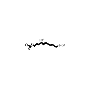 CCCCCCCCCCCCCCCCCCOC([O-])=S.[Na+]